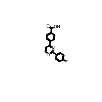 O=C(O)c1ccc(-c2ccnc(-c3ccc(F)cc3)n2)cc1